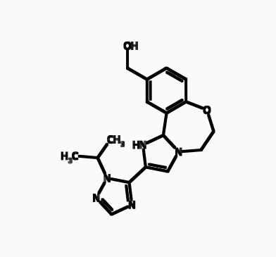 CC(C)n1ncnc1C1=CN2CCOc3ccc(CO)cc3C2N1